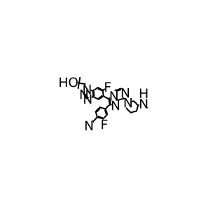 CN[C@@H]1CCCN(c2nccn3c(-c4cc5nnn(CC(C)(C)O)c5cc4F)c(-c4ccc(C#N)c(F)c4)nc23)C1